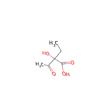 CCC(O)(C(C)=O)C(=O)O